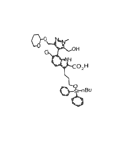 CCCC[Si](OCCCc1c(C(=O)O)[nH]c2c(-c3c(COC4CCCCO4)nn(C)c3CO)c(Cl)ccc12)(c1ccccc1)c1ccccc1